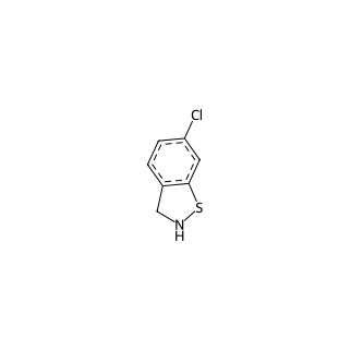 Clc1ccc2c(c1)SNC2